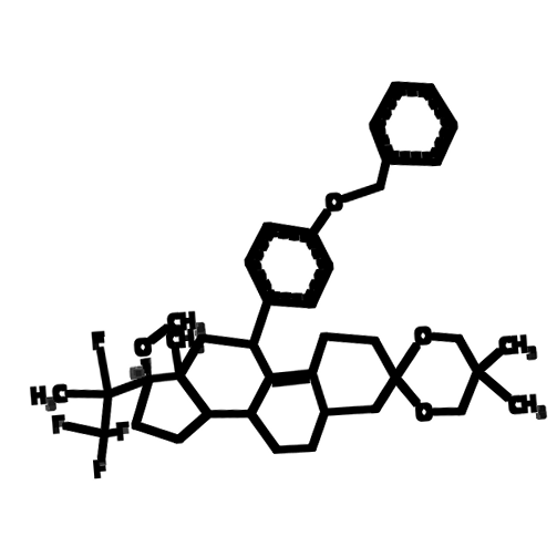 CO[C@@]1(C(C)(F)C(F)(F)F)CCC2C3CCC4CC5(CCC4=C3C(c3ccc(OCc4ccccc4)cc3)CC21C)OCC(C)(C)CO5